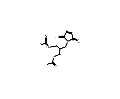 CC(=O)NCC(CNC(C)=O)CN1C(=O)C=CC1=O